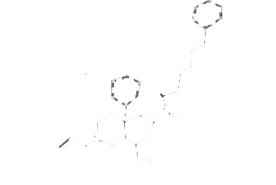 C=CCN1CCC2(c3cccc(OC(C)=O)c3)CC(N(C)C(=O)CCCCCc3ccccc3)CC(O)C2C1